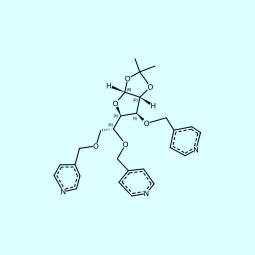 CC1(C)O[C@H]2O[C@H]([C@@H](COCc3ccncc3)OCc3ccncc3)[C@H](OCc3ccncc3)[C@H]2O1